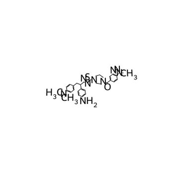 CN(C)c1ccc(CC(c2ccc(N)cc2)c2nsc(N3CCCN(C(=O)c4ccc5c(c4)nnn5C)CC3)n2)cc1